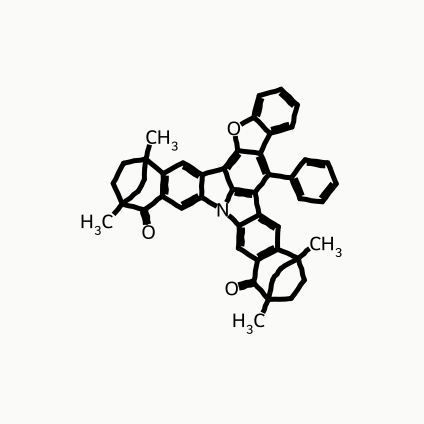 CC12CCC(C)(CC1)c1cc3c4c(-c5ccccc5)c5c6ccccc6oc5c5c6cc7c(cc6n(c3cc1C2=O)c45)C(=O)C1(C)CCC7(C)CC1